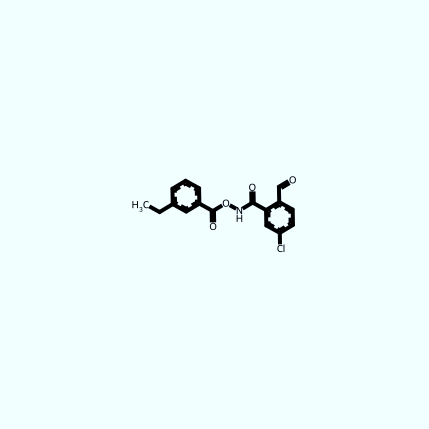 CCc1cccc(C(=O)ONC(=O)c2cc(Cl)ccc2C=O)c1